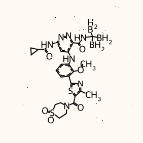 BC(B)(B)NC(=O)c1nnc(NC(=O)C2CC2)cc1Nc1cccc(-c2nc(C)c(C(=O)N3CCS(=O)(=O)CC3)s2)c1OC